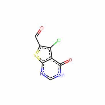 O=Cc1sc2nc[nH]c(=O)c2c1Cl